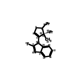 CC(C)C1CC=C(n2c(F)nc3ccccc32)[C@@]1(C)C(C)C